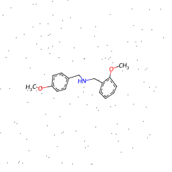 COc1ccc(CNCc2ccccc2OC)cc1